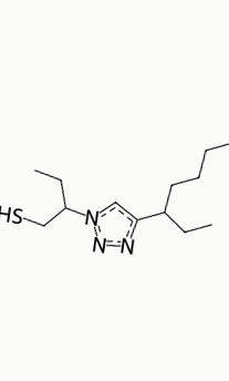 CCCCC(CC)c1cn(C(CC)CS)nn1